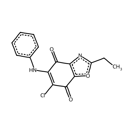 CCc1nc2c(o1)C(=O)C(Cl)=C(Nc1ccccc1)C2=O